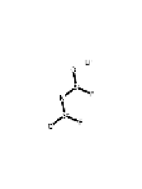 [Li+].[O-][S+](F)[N-][S+]([O-])F